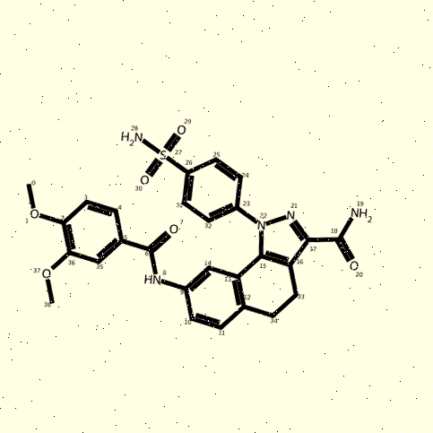 COc1ccc(C(=O)Nc2ccc3c(c2)-c2c(c(C(N)=O)nn2-c2ccc(S(N)(=O)=O)cc2)CC3)cc1OC